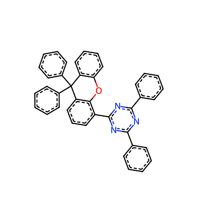 c1ccc(-c2nc(-c3ccccc3)nc(-c3cccc4c3Oc3ccccc3C4(c3ccccc3)c3ccccc3)n2)cc1